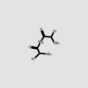 CCCCC(CC)[C](=O)[Mg][C](=O)C(CC)CCCC